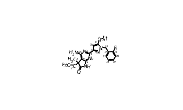 CCOC(=O)C1(C)C(=O)Nc2nc(-c3cc(OCC)n(Cc4ccccc4F)n3)nc(N)c21